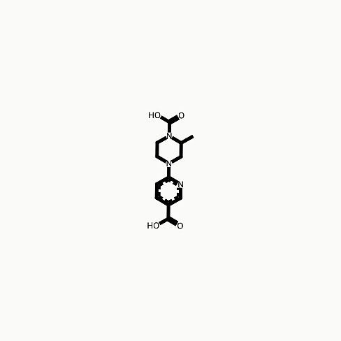 CC1CN(c2ccc(C(=O)O)cn2)CCN1C(=O)O